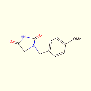 COc1ccc(CN2CC(=O)NC2=O)cc1